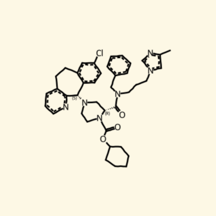 Cc1cn(CCCN(Cc2ccccc2)C(=O)[C@H]2CN([C@H]3c4ccc(Cl)cc4CCc4cccnc43)CCN2C(=O)OC2CCCCC2)cn1